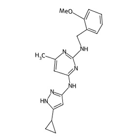 COc1ccccc1CNc1nc(C)cc(Nc2cc(C3CC3)[nH]n2)n1